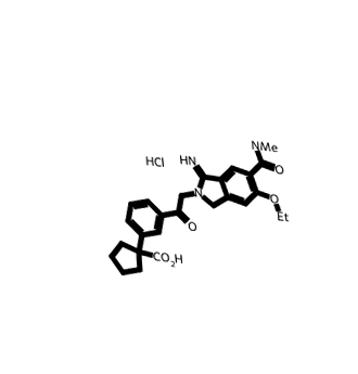 CCOc1cc2c(cc1C(=O)NC)C(=N)N(CC(=O)c1cccc(C3(C(=O)O)CCCC3)c1)C2.Cl